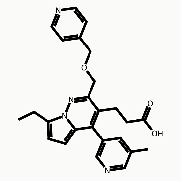 CCc1ccc2c(-c3cncc(C)c3)c(CCC(=O)O)c(COCc3ccncc3)nn12